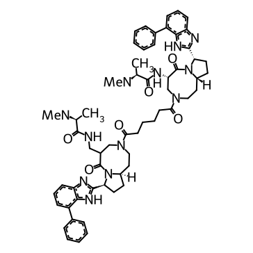 CN[C@@H](C)C(=O)NCC1CN(C(=O)CCCCC(=O)N2CC[C@H]3CC[C@@H](c4nc5cccc(-c6ccccc6)c5[nH]4)N3C(=O)[C@@H](NC(=O)[C@H](C)NC)C2)CC[C@H]2CC[C@@H](c3nc4cccc(-c5ccccc5)c4[nH]3)N2C1=O